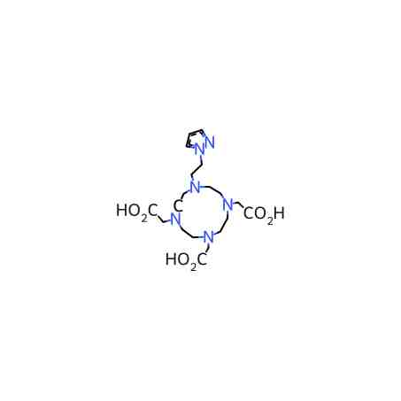 O=C(O)CN1CCN(CCn2cccn2)CCN(CC(=O)O)CCN(CC(=O)O)CC1